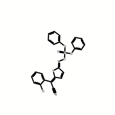 N#C/C(=C1C=C/C(=N\OP(=O)(Oc2ccccc2)Oc2ccccc2)S\1)c1ccccc1Cl